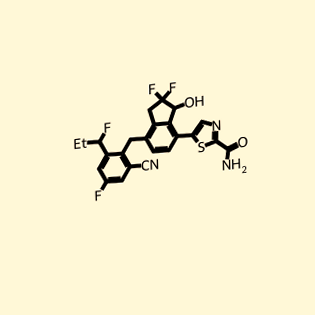 CCC(F)c1cc(F)cc(C#N)c1Cc1ccc(-c2cnc(C(N)=O)s2)c2c1CC(F)(F)C2O